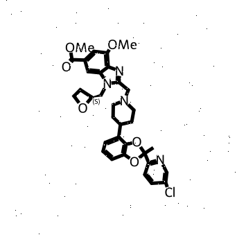 COC(=O)c1cc(OC)c2nc(CN3CCC(c4cccc5c4OC(C)(c4ccc(Cl)cn4)O5)CC3)n(C[C@@H]3CCO3)c2c1